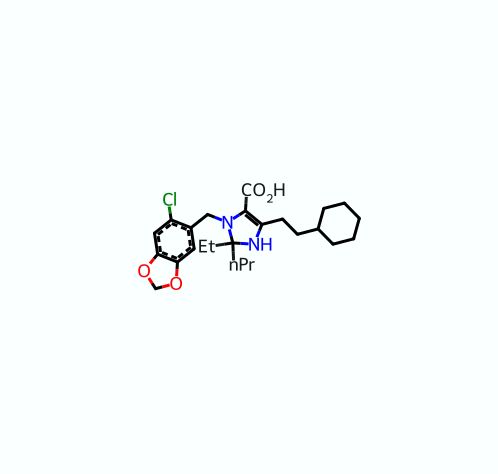 CCCC1(CC)NC(CCC2CCCCC2)=C(C(=O)O)N1Cc1cc2c(cc1Cl)OCO2